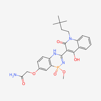 COP1(=O)N=C(c2c(O)c3ccccc3n(CCC(C)(C)C)c2=O)Nc2ccc(OCC(N)=O)cc21